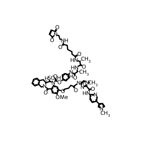 COc1cc2c(cc1OCCCC(=O)Nc1cn(C)c(C(=O)Nc3ccc(-c4ccn(C)c4)cn3)n1)N(C(=O)Oc1ccc(NC(=O)[C@@H](C)NC(=O)[C@@H](C)NC(=O)CCCCC(=O)NCCN3C(=O)C=CC3=O)cc1)C(S(=O)(=O)O)[C@@H]1Cc3ccccc3CN1C2=O